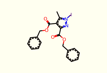 Cc1c(C(=O)OCc2ccccc2)c(C(=O)OCc2ccccc2)nn1I